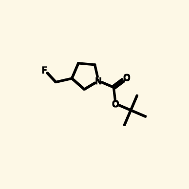 CC(C)(C)OC(=O)N1CCC(CF)C1